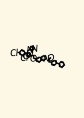 O=C(Cc1ccc(-c2ccccc2)cc1)N1CCc2cc(OCC3COC(Cn4ccnc4)(c4ccc(Cl)cc4Cl)O3)ccc2C1